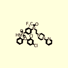 O=C(N(CCN1CCN(c2ccccn2)CC1)c1ccc(S(=O)(=O)Nc2ccccc2Oc2ccc(Cl)cc2Cl)cc1)C(F)(F)F